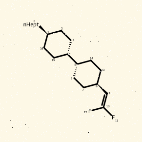 CCCCCCC[C@H]1CC[C@H]([C@H]2CC[C@H](C=C(F)F)CC2)CC1